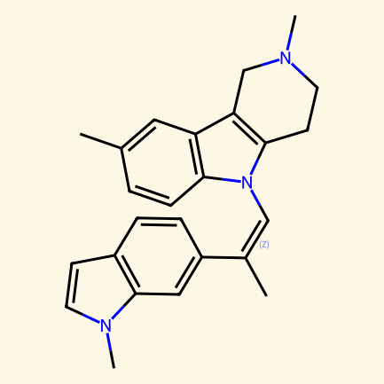 C/C(=C/n1c2c(c3cc(C)ccc31)CN(C)CC2)c1ccc2ccn(C)c2c1